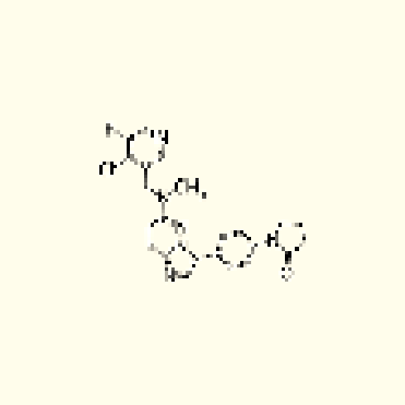 CN(Cc1cncc(F)c1Cl)c1ccc2ncc(-c3ccc(N4CCCC4=O)cc3)n2n1